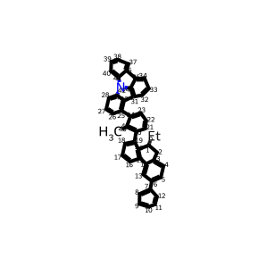 CCC1Cc2ccc(-c3ccccc3)cc2-c2cccc(-c3cccc(-c4cccc5c4c4cccc6c7ccccc7n5c64)c3C)c21